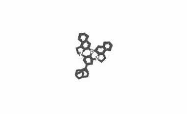 c1ccc2c3c4c(cc2c1)B1c2cc5ccccc5c5c2N(CC5)c2cc(C5C6CC7CC(C6)CC5C7)cc(c21)N4CC3